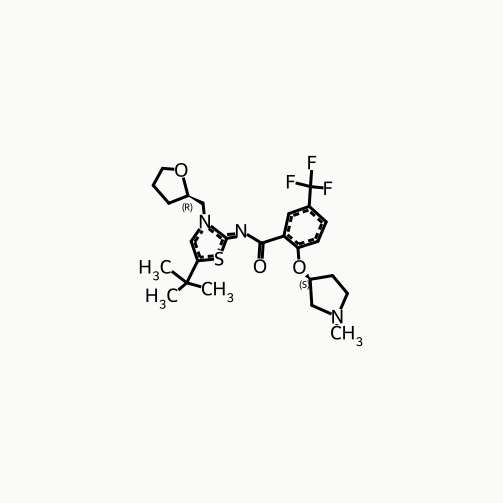 CN1CC[C@H](Oc2ccc(C(F)(F)F)cc2C(=O)N=c2sc(C(C)(C)C)cn2C[C@H]2CCCO2)C1